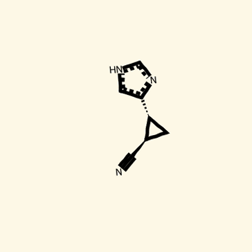 N#C[C@@H]1C[C@H]1c1c[nH]cn1